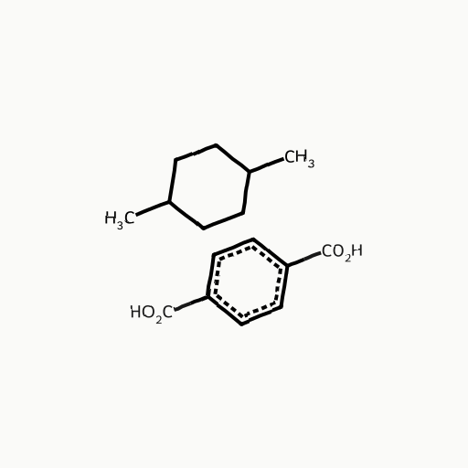 CC1CCC(C)CC1.O=C(O)c1ccc(C(=O)O)cc1